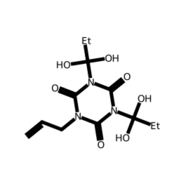 C=CCn1c(=O)n(C(O)(O)CC)c(=O)n(C(O)(O)CC)c1=O